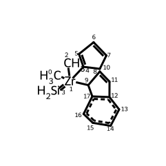 [CH3][Zr]([CH3])(=[SiH2])([C]1=CC=CC1)[CH]1C=Cc2ccccc21